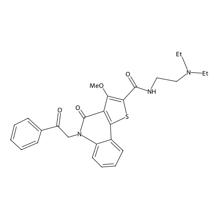 CCN(CC)CCNC(=O)c1sc2c(c1OC)c(=O)n(CC(=O)c1ccccc1)c1ccccc21